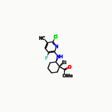 CC[C@@]1(C(=O)OC)CCCC[C@H]1Nc1nc(Cl)c(C#N)cc1F